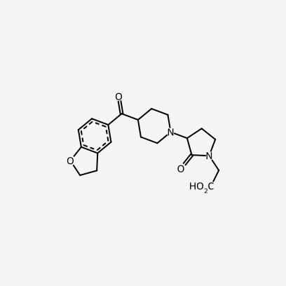 O=C(O)CN1CCC(N2CCC(C(=O)c3ccc4c(c3)CCO4)CC2)C1=O